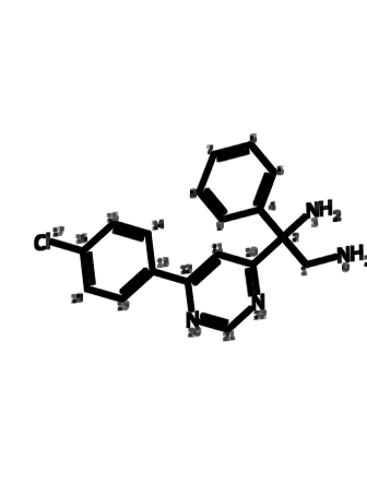 NCC(N)(c1ccccc1)c1cc(-c2ccc(Cl)cc2)ncn1